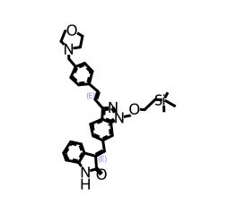 C[Si](C)(C)CCOCn1nc(/C=C/c2ccc(CN3CCOCC3)cc2)c2ccc(/C=C3/C(=O)Nc4ccccc43)cc21